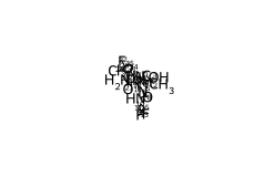 CC(C)(O)[C@H]1CN(C(=O)NC2CC(F)(F)C2)Cc2c(C(N)=O)c(-c3ccc(F)c(Cl)c3)nn21